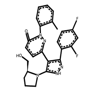 Cc1ccccc1-n1nc(-c2c(-c3ccc(F)cc3F)n[nH]c2N2CCC[C@H]2CO)ccc1=O